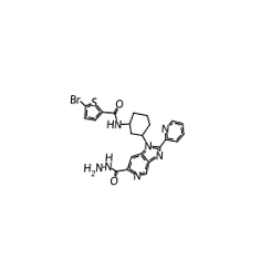 NNC(=O)c1cc2c(cn1)nc(-c1ccccn1)n2C1CCCC(NC(=O)c2ccc(Br)s2)C1